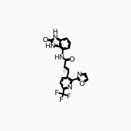 O=C(/C=C/c1ccc(C(F)(F)F)nc1-c1ncco1)Nc1cccc2[nH]c(=O)[nH]c12